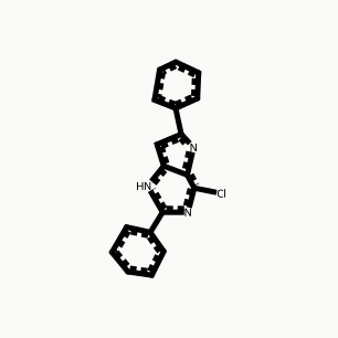 Clc1nc(-c2ccccc2)[nH]c2cc(-c3ccccc3)nc1-2